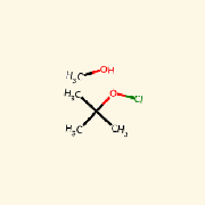 CC(C)(C)OCl.CO